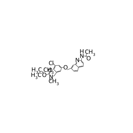 CC(=O)Nc1ccc2ccc(COc3cc(Cl)cc(CN(C)C(=O)OC(C)(C)C)c3)cc2n1